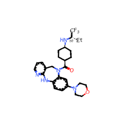 CC[C@H](N[C@H]1CC[C@@H](C(=O)N2Cc3cccnc3Nc3ccc(N4CCOCC4)cc32)CC1)C(F)(F)F